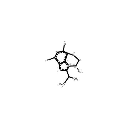 COC(C)c1nc2c(F)cc(Br)c3c2n1[C@@H](C)CO3